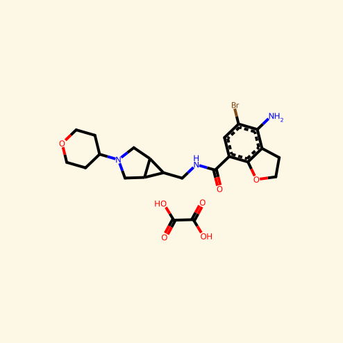 Nc1c(Br)cc(C(=O)NCC2C3CN(C4CCOCC4)CC23)c2c1CCO2.O=C(O)C(=O)O